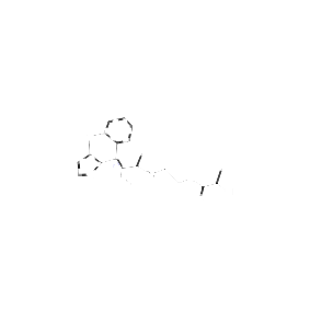 C=C(C)C(=O)OCCNC(=O)/C(C#N)=C1\c2ccccc2Sc2ccsc21